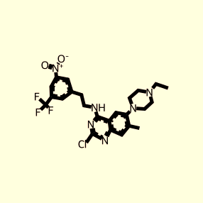 CCN1CCN(c2cc3c(NCCc4cc([N+](=O)[O-])cc(C(F)(F)F)c4)nc(Cl)nc3cc2C)CC1